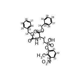 Cc1c(OP(=O)(O)CCC(NC(=O)OCc2ccccc2)C(=O)OCc2ccccc2)cccc1[N+](=O)[O-]